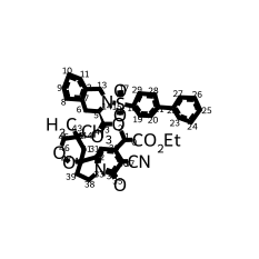 CCOC(=O)C(OC(=O)[C@H]1Cc2ccccc2CN1S(=O)(=O)c1ccc(-c2ccccc2)cc1)c1cc2n(c(=O)c1C#N)CCC21CC(C)(C)COO1